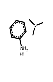 CN(C)C.I.Nc1ccccc1